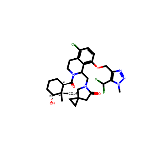 Cn1nnc(COc2ccc(Cl)c3c2C(CN2CC4(CC4)CC2=O)N(C(=O)[C@@H]2CCC[C@@H](O)[C@]2(C)C(=O)O)CC3)c1C(F)F